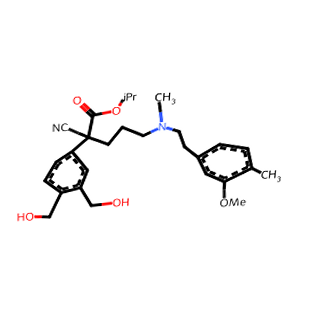 COc1cc(CCN(C)CCCC(C#N)(C(=O)OC(C)C)c2ccc(CO)c(CO)c2)ccc1C